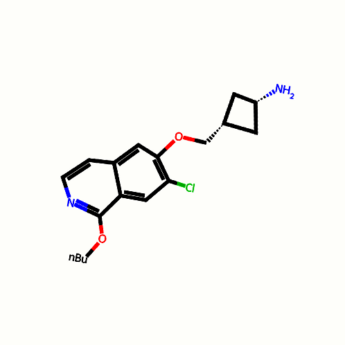 CCCCOc1nccc2cc(OC[C@H]3C[C@@H](N)C3)c(Cl)cc12